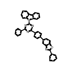 c1ccc(-c2nc(-c3ccc(-c4ccc5oc(-c6ccccc6)nc5c4)cc3)nc(-n3c4ccccc4c4ccccc43)n2)cc1